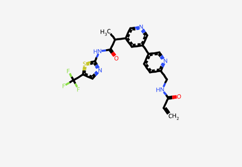 C=CC(=O)NCc1ccc(-c2cncc(C(C)C(=O)Nc3ncc(C(F)(F)F)s3)c2)cn1